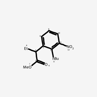 CCCCc1c(C(CC)C(=O)OC)cccc1[N+](=O)[O-]